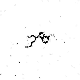 Nc1ncnc2c1ncn2C(CO)OCCO